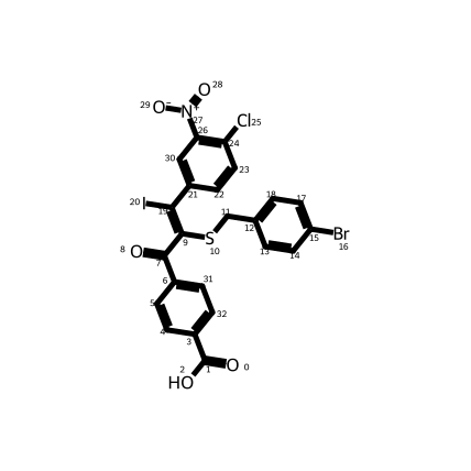 O=C(O)c1ccc(C(=O)C(SCc2ccc(Br)cc2)=C(I)c2ccc(Cl)c([N+](=O)[O-])c2)cc1